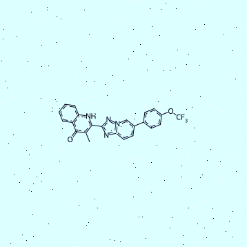 Cc1c(-c2nc3ccc(-c4ccc(OC(F)(F)F)cc4)cn3n2)[nH]c2ccccc2c1=O